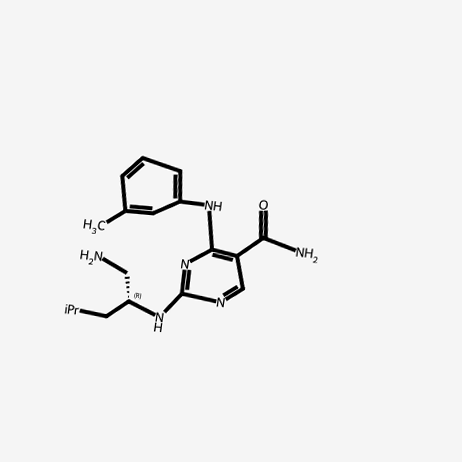 Cc1cccc(Nc2nc(N[C@@H](CN)CC(C)C)ncc2C(N)=O)c1